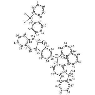 CC1(C)c2ccccc2-c2ccc(C3=c4ccccc4=CC4c5ccc(C(c6ccc7c(c6)C(C)(C)c6ccccc6-7)c6cccc7ccccc67)cc5OC34)cc21